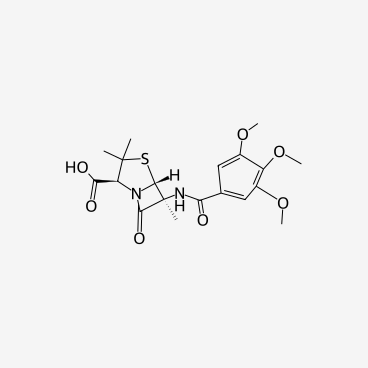 COc1cc(C(=O)N[C@@]2(C)C(=O)N3[C@@H](C(=O)O)C(C)(C)S[C@@H]32)cc(OC)c1OC